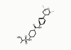 CCCCC(C)S(=O)(=O)N[C@H]1CC[C@H](C(=O)Nc2ccc(N3C[C@@H](C)O[C@@H](C)C3)cc2)CC1